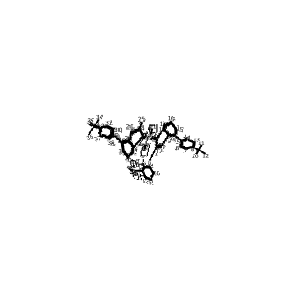 CC1=Cc2c(-c3ccc(C(C)(C)C)cc3)cccc2[CH]1[Zr]([Cl])([Cl])[CH]1C(C)=Cc2c(-c3ccc(C(C)(C)C)cc3)cccc21.C[Si](O)(O)c1ccccc1